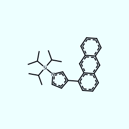 CC(C)[Si](C(C)C)(C(C)C)n1ccc(-c2cccc3cc4ccccc4cc23)c1